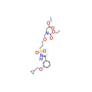 CCOC(=O)CN(COCCCS(=O)(=O)N[C@H](C)c1cccc(OCC2CC2)c1)C(=O)OCC